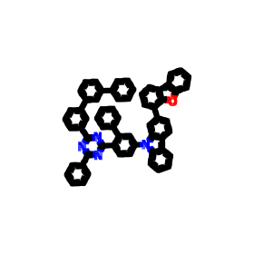 c1ccc(-c2cccc(-c3cccc(-c4nc(-c5ccccc5)nc(-c5ccc(-n6c7ccccc7c7ccc(-c8cccc9c8oc8ccccc89)cc76)cc5-c5ccccc5)n4)c3)c2)cc1